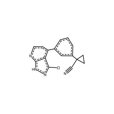 N#CC1(c2cccc(-c3ccnc4[nH]nc(Cl)c34)c2)CC1